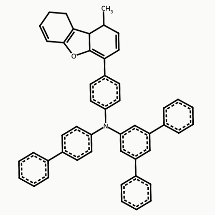 CC1C=CC(c2ccc(N(c3ccc(-c4ccccc4)cc3)c3cc(-c4ccccc4)cc(-c4ccccc4)c3)cc2)=C2OC3=C(CCC=C3)C21